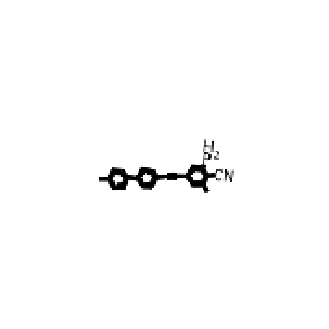 Cc1ccc(-c2ccc(C#Cc3cc(C)c(C#N)c(P)c3)cc2)cc1